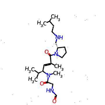 C/C(=C\[C@H](C(C)C)N(C)C(=O)CNC=O)C(=O)N1CCC[C@H]1CNCCC(C)C